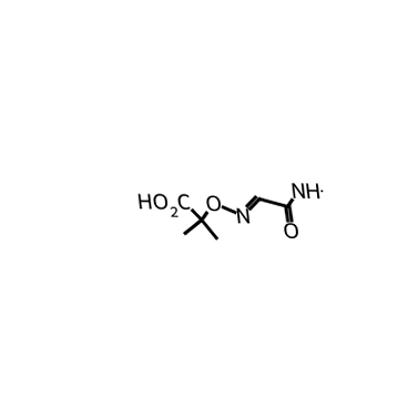 CC(C)(ON=CC([NH])=O)C(=O)O